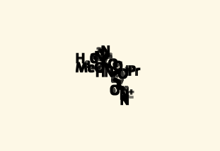 CO[C@@H](C(=O)N[C@@H](CCC(=O)C=[N+]=[N-])C(=O)OC(C)C)c1cncn1C